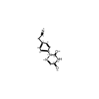 N#CCc1ccc(-n2ncc(=O)[nH]c2=O)cc1